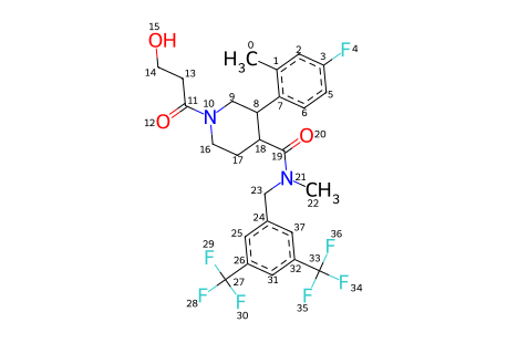 Cc1cc(F)ccc1C1CN(C(=O)CCO)CCC1C(=O)N(C)Cc1cc(C(F)(F)F)cc(C(F)(F)F)c1